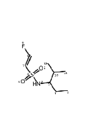 CCC(NS(=O)(=O)/C=C/F)C(C)C